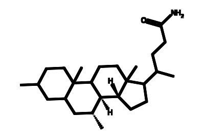 CC1CCC2(C)C(C1)C[C@@H](C)[C@H]1C2CCC2(C)C(C(C)CCC(N)=O)CC[C@H]12